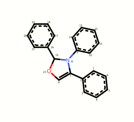 C1=C(c2ccccc2)N(c2ccccc2)C(c2ccccc2)O1